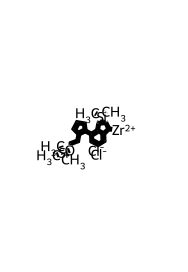 C[Si](C)(C)OCCC1=C(c2cccc3c2C2=C([CH]3[Zr+2])[Si]2(C)C)CC=C1.[Cl-].[Cl-]